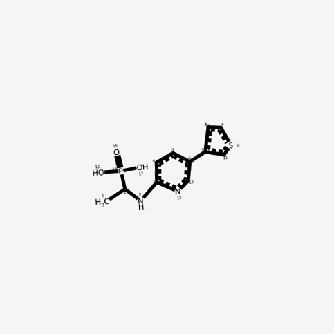 CC(Nc1ccc(-c2ccsc2)cn1)P(=O)(O)O